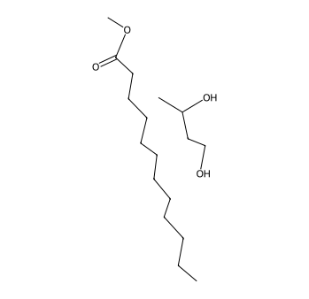 CC(O)CCO.CCCCCCCCCCCC(=O)OC